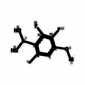 CCOc1cc(C)c(B(O)O)c(F)c1F